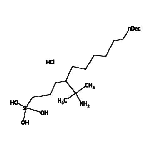 CCCCCCCCCCCCCCCCC(CCC[Si](O)(O)O)C(C)(C)N.Cl